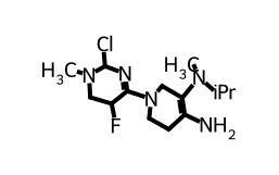 CC(C)N(C)C1=C(N)CCN(C2=NC(Cl)N(C)CC2F)C1